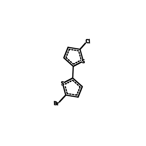 Clc1ccc(-c2ccc(Br)s2)s1